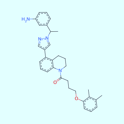 Cc1cccc(OCCCC(=O)N2CCCc3c(-c4cnn(C(C)c5cccc(N)c5)c4)cccc32)c1C